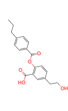 CCCc1ccc(C(=O)Oc2ccc(CCO)cc2C(=O)O)cc1